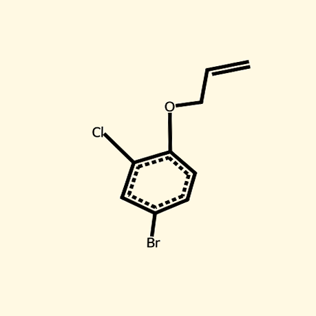 C=CCOc1ccc(Br)cc1Cl